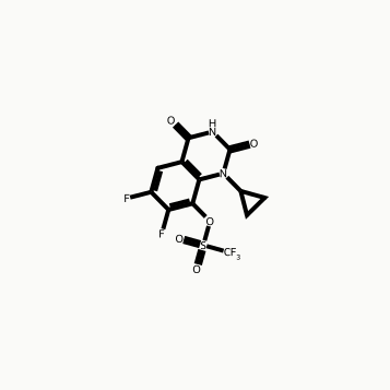 O=c1[nH]c(=O)n(C2CC2)c2c(OS(=O)(=O)C(F)(F)F)c(F)c(F)cc12